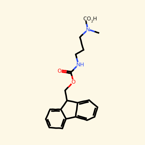 CN(CCCNC(=O)OCC1c2ccccc2-c2ccccc21)C(=O)O